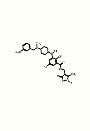 CCN(c1cc(Cl)cc(C(=O)NCc2c(C)n(CC)[nH]c2=O)c1C)C1CCC(N(C)Cc2cccc(OC)c2)CC1